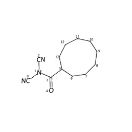 N#CN(C#N)C(=O)C1CCCCCCCC1